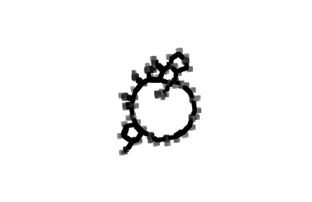 CN1/C2=C(/O)C(=O)CC(=O)NCc3ccc(F)cc3OCC/C=C\CCCCCCN1C1COCCN1C2=O